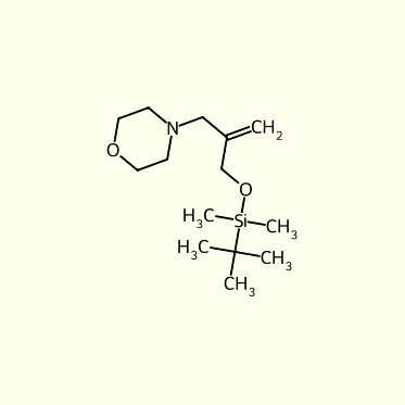 C=C(CO[Si](C)(C)C(C)(C)C)CN1CCOCC1